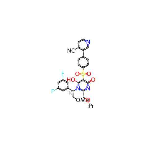 COC[C@@H](c1cc(F)cc(F)c1)n1c(COC(C)C)nc(=O)c(S(=O)(=O)c2ccc(-c3cnccc3C#N)cc2)c1O